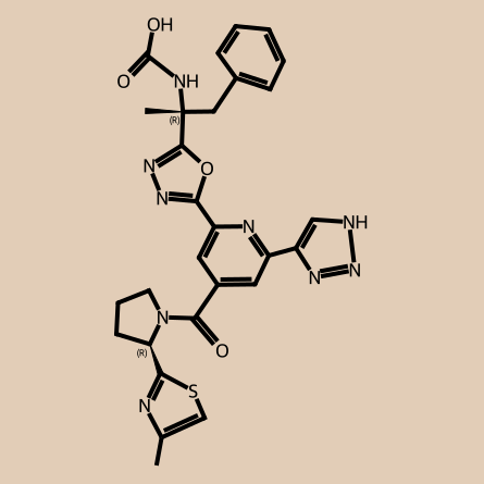 Cc1csc([C@H]2CCCN2C(=O)c2cc(-c3c[nH]nn3)nc(-c3nnc([C@@](C)(Cc4ccccc4)NC(=O)O)o3)c2)n1